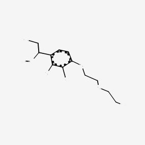 CCCCOC(CO)c1ccc(NCCNCCO)c([N+](=O)[O-])c1N